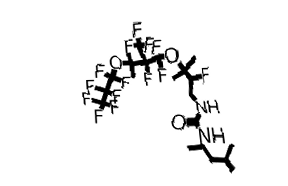 CC(C)CC(C)NC(=O)NCC(F)C(C)(C)OC(F)(F)C(F)(C(F)(F)F)C(C)(C)OC(F)(F)C(F)(F)C(F)(F)F